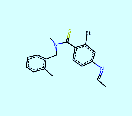 C/C=N/c1ccc(C(=S)N(C)Cc2ccccc2C)c(CC)c1